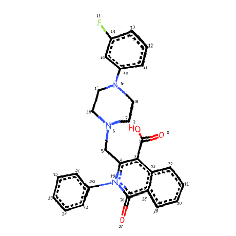 O=C(O)c1c(CN2CCN(c3cccc(F)c3)CC2)n(-c2ccccc2)c(=O)c2ccccc12